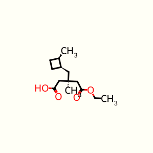 CCOC(=O)C[C@@](C)(CC(=O)O)C[C@H]1CC[C@H]1C